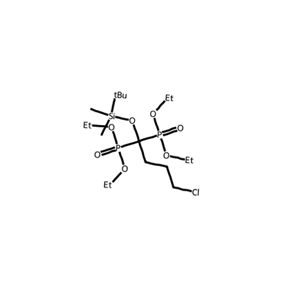 CCOP(=O)(OCC)C(CCCCl)(O[Si](C)(C)C(C)(C)C)P(=O)(OCC)OCC